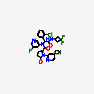 N#Cc1ccnc(N2C(=O)CC[C@H]2C(=O)N(c2cncc(F)c2)C(C(=O)NC2CC(F)(F)C2)c2ccccc2Cl)c1